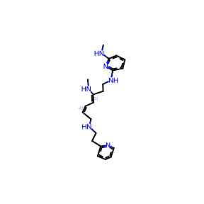 CN/C(=C\C=C/CNCCc1ccccn1)CCNc1cccc(NC)n1